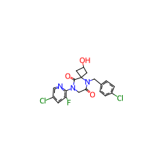 O=C1CN(c2ncc(Cl)cc2F)C(=O)C2(CC(O)C2)N1Cc1ccc(Cl)cc1